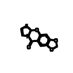 O=C1c2cc3c(cc2OC2SC=CN12)OCO3